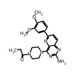 CCC(=O)N1CCN(c2nc(N)nc3ccc(-c4ccc(OC)c(OC)c4)nc23)CC1